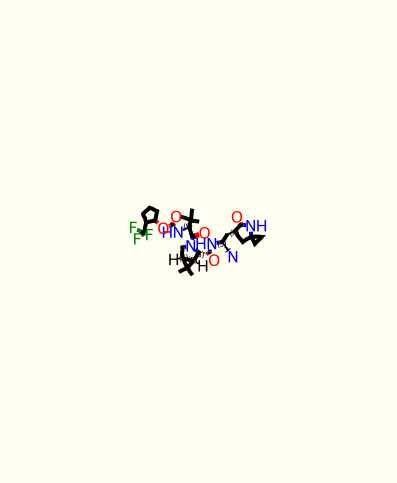 CC(C)(C)[C@H](NC(=O)OC1CCCC1C(F)(F)F)C(=O)N1C[C@H]2[C@@H]([C@H]1C(=O)N[C@H](C#N)C[C@@H]1CC3(CC3)NC1=O)C2(C)C